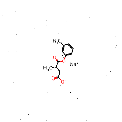 Cc1cccc(OC(=O)C(C)CC(=O)[O-])c1.[Na+]